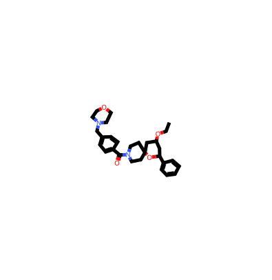 CCOC1CC(c2ccccc2)OC2(CCN(C(=O)c3ccc(CN4CCOCC4)cc3)CC2)C1